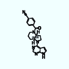 N#Cc1ccc(C(=O)N2CCC[C@@H]3[C@H]2CCN3c2ncnc3[nH]ccc23)cc1